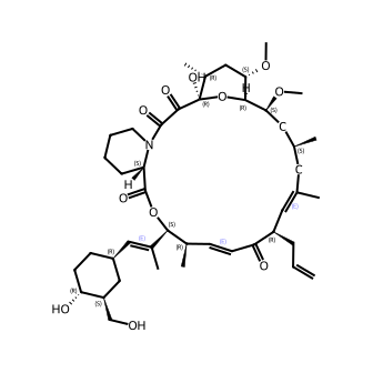 C=CC[C@@H]1/C=C(\C)C[C@H](C)C[C@H](OC)[C@H]2O[C@@](O)(C(=O)C(=O)N3CCCC[C@H]3C(=O)O[C@H](/C(C)=C/[C@@H]3CC[C@@H](O)[C@H](CO)C3)[C@H](C)/C=C/C1=O)[C@H](C)C[C@@H]2OC